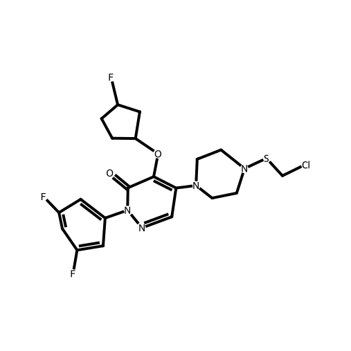 O=c1c(OC2CCC(F)C2)c(N2CCN(SCCl)CC2)cnn1-c1cc(F)cc(F)c1